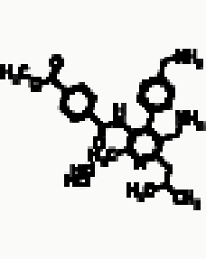 COC(=O)c1ccc(C(=O)Nc2c(C)nc(CC(C)C)c(CN)c2-c2ccc(CN)cc2)cc1.Cl.Cl